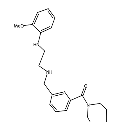 COc1ccccc1NCCNCc1cccc(C(=O)N2CCCCC2)c1